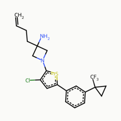 C=CCCC1(N)CN(c2sc(-c3cccc(C4(C(F)(F)F)CC4)c3)cc2Cl)C1